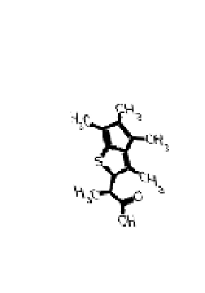 CC1=C(C)C2=C(C)C(C(C)C(=O)O)SC2=C1C